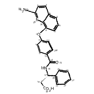 Nc1ccc2cccc(Oc3ccc(C(=O)N[C@@H](CC(=O)O)c4ccccc4)cc3)c2n1